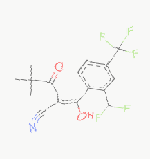 CC(C)(C)C(=O)C(C#N)=C(O)c1ccc(C(F)(F)F)cc1C(F)F